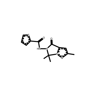 Cc1cc2n(n1)C(C)(C)N(NC(=O)c1cccs1)C2=O